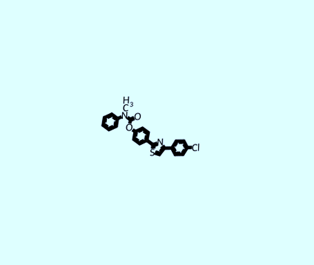 CN(C(=O)Oc1ccc(-c2nc(-c3ccc(Cl)cc3)cs2)cc1)c1ccccc1